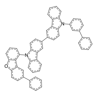 c1ccc(-c2cccc(-n3c4ccccc4c4cc(-c5ccc6c(c5)c5ccccc5n6-c5cccc6oc7ccc(-c8ccccc8)cc7c56)ccc43)c2)cc1